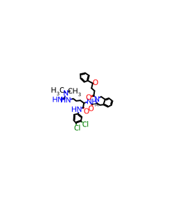 CN(C)C(=N)NCCCC(NC(=O)[C@@H]1Cc2ccccc2CN1C(=O)CCC(=O)c1ccccc1)C(=O)Nc1ccc(Cl)c(Cl)c1